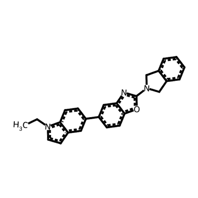 CCn1ccc2cc(-c3ccc4oc(N5Cc6ccccc6C5)nc4c3)ccc21